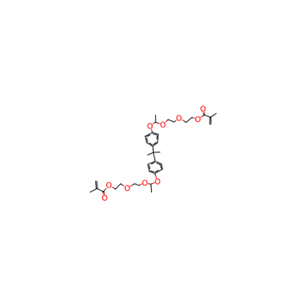 C=C(C)C(=O)OCCOCCOC(C)Oc1ccc(C(C)(C)c2ccc(OC(C)OCCOCCOC(=O)C(=C)C)cc2)cc1